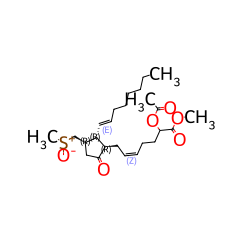 CCCCCC/C=C/[C@H]1[C@H](C[S+](C)[O-])CC(=O)[C@@H]1C/C=C\CCC(OC(C)=O)C(=O)OC